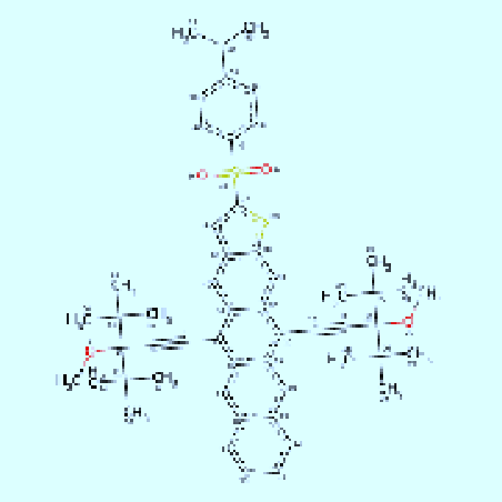 COC(C#Cc1c2cc3ccccc3cc2c(C#CC(OC)(C(C)(C)C)C(C)(C)C)c2cc3sc(S(=O)(=O)c4ccc(C(C)C)cc4)cc3cc12)(C(C)(C)C)C(C)(C)C